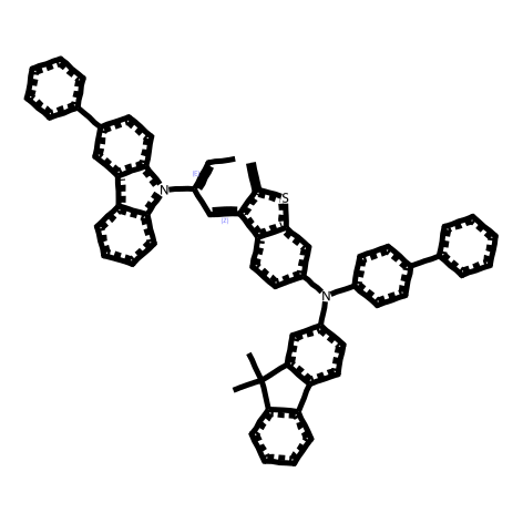 C=c1sc2cc(N(c3ccc(-c4ccccc4)cc3)c3ccc4c(c3)C(C)(C)c3ccccc3-4)ccc2/c1=C/C(=C\C)n1c2ccccc2c2cc(-c3ccccc3)ccc21